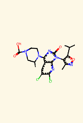 Cc1noc(C(C)C)c1-n1c(=O)nc(N2CCN(C(=O)O)CC2C)c2cc(Cl)c(Cl)nc21